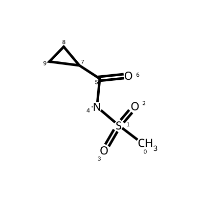 CS(=O)(=O)[N]C(=O)C1CC1